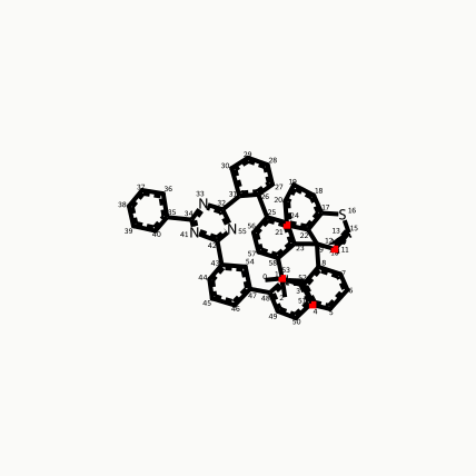 CC1(C)c2ccccc2C2(c3ccccc3Sc3ccccc32)c2cc(-c3ccccc3-c3nc(-c4ccccc4)nc(-c4cccc(-c5ccccn5)c4)n3)ccc21